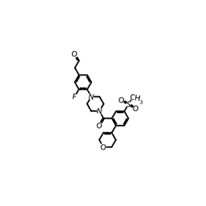 CS(=O)(=O)c1ccc(C2=CCOCC2)c(C(=O)N2CCN(c3ccc(CC=O)cc3F)CC2)c1